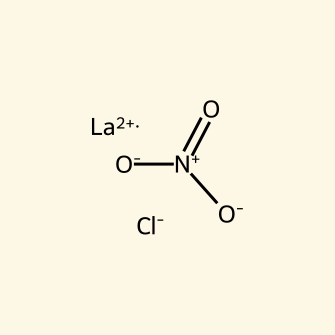 O=[N+]([O-])[O-].[Cl-].[La+2]